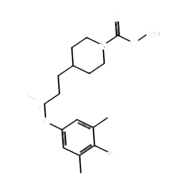 Cc1cc(O[C@H](C)CCC2CCN(C(=O)OC(C)(C)C)CC2)cc(C)c1Br